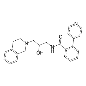 O=C(NCC(O)CN1CCc2ccccc2C1)c1ccccc1-c1ccncc1